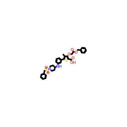 Cc1c(-c2cccc(NC3CCN(S(=O)(=O)Cc4ccccc4)CC3)c2)sc(C(=O)O)c1OCC(=O)OCc1ccccc1